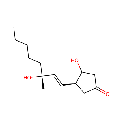 CCCCC[C@@](C)(O)/C=C/[C@@H]1CC(=O)CC1O